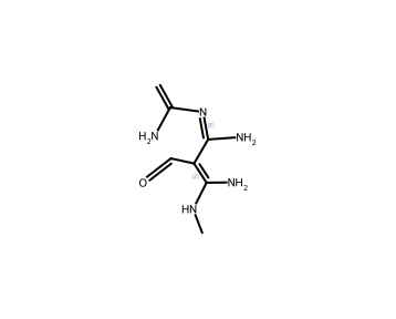 C=C(N)/N=C(N)\C(C=O)=C(/N)NC